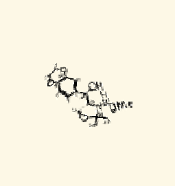 COBN1[C@@H]([C@H](O)c2ccc3c(c2)OCCO3)COC1(C)C